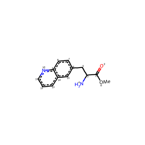 COC(=O)C(N)Cc1ccc2ncccc2c1